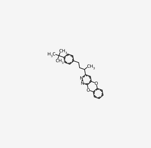 CC(CCc1ccc(C(C)(C)C)cc1)c1cc2c(nn1)Oc1ccccc1O2